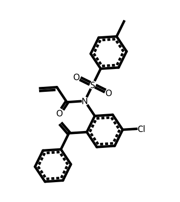 C=CC(=O)N(c1cc(Cl)ccc1C(=C)c1ccccc1)S(=O)(=O)c1ccc(C)cc1